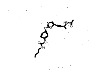 CCCCNC(=O)Oc1ccc(Oc2ncc(C#CC(C)NC(C)=O)s2)cc1